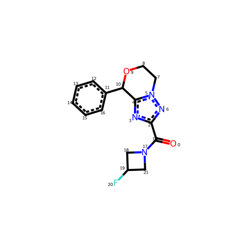 O=C(c1nc2n(n1)CCOC2c1ccccc1)N1CC(F)C1